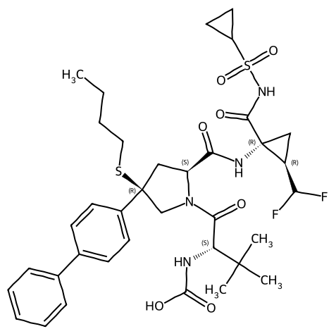 CCCCS[C@@]1(c2ccc(-c3ccccc3)cc2)C[C@@H](C(=O)N[C@]2(C(=O)NS(=O)(=O)C3CC3)C[C@H]2C(F)F)N(C(=O)[C@@H](NC(=O)O)C(C)(C)C)C1